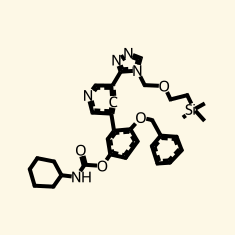 C[Si](C)(C)CCOCn1cnnc1-c1cncc(-c2cc(OC(=O)NC3CCCCC3)ccc2OCc2ccccc2)c1